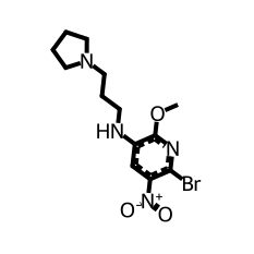 COc1nc(Br)c([N+](=O)[O-])cc1NCCCN1CCCC1